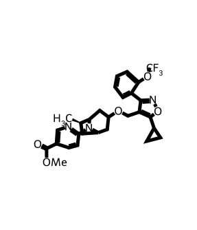 COC(=O)c1ccc(N2C3CC(OCc4c(-c5ccccc5OC(F)(F)F)noc4C4CC4)CC2[C@H](C)C3)nc1